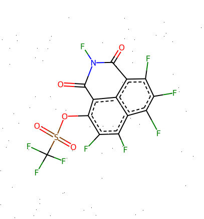 O=C1c2c(F)c(F)c(F)c3c(F)c(F)c(OS(=O)(=O)C(F)(F)F)c(c23)C(=O)N1F